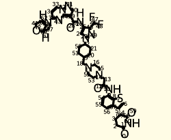 O=C1CC[C@H](c2csc3c(NC(=O)CN4CCN(CC5CCC(n6cc(NC(=O)c7cnn8ccc(N9C[C@@H]%10C[C@H]9CO%10)nc78)c(C(F)F)n6)CC5)CC4)cccc23)C(=O)N1